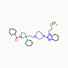 O=C(c1ccccc1)N1CCC(CCN2CCCN(c3nc4ccccc4n3CCOC(F)(F)F)CC2)(c2ccccc2)C1